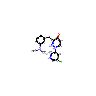 CCCN(C(=O)O)c1cccc(Cc2nn(-c3cncc(F)c3)ccc2=O)c1